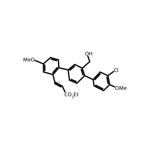 CCOC(=O)/C=C/c1cc(OC)ccc1-c1ccc(-c2ccc(OC)c(Cl)c2)c(CO)c1